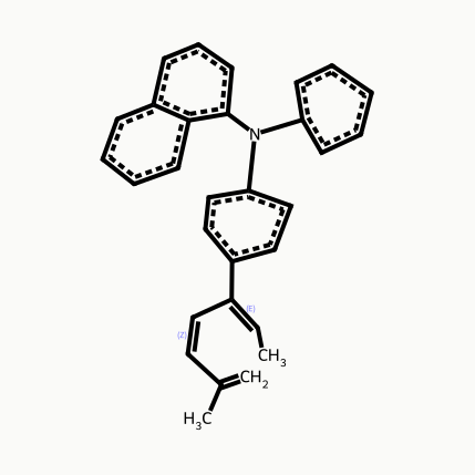 C=C(C)/C=C\C(=C/C)c1ccc(N(c2ccccc2)c2cccc3ccccc23)cc1